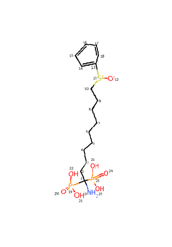 NC(CCCCCCCCC[S+]([O-])c1ccccc1)(P(=O)(O)O)P(=O)(O)O